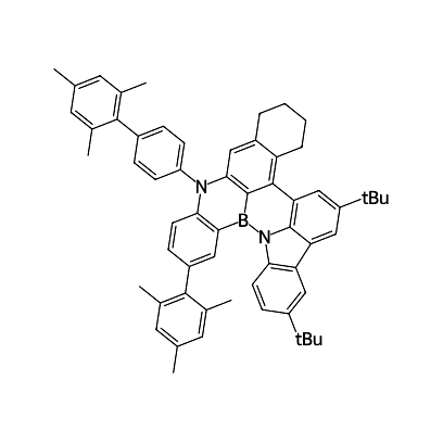 Cc1cc(C)c(-c2ccc(N3c4ccc(-c5c(C)cc(C)cc5C)cc4B4c5c3cc3c(c5-c5cc(C(C)(C)C)cc6c7cc(C(C)(C)C)ccc7n4c56)CCCC3)cc2)c(C)c1